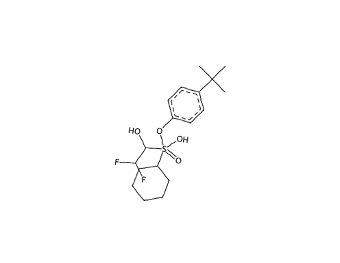 CC(C)(C)c1ccc(OS(=O)(O)(C2CCCCC2)C(O)C(F)F)cc1